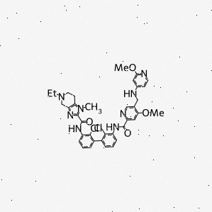 CCN1CCc2c(nc(C(=O)Nc3cccc(-c4cccc(NC(=O)c5cc(OC)c(CNc6ccnc(OC)c6)cn5)c4Cl)c3Cl)n2C)C1